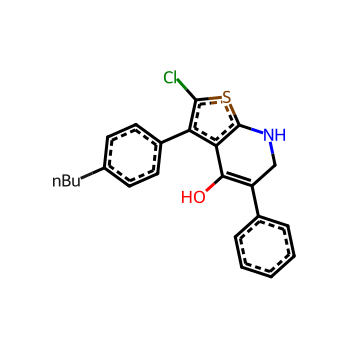 CCCCc1ccc(-c2c(Cl)sc3c2C(O)=C(c2ccccc2)CN3)cc1